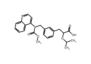 COC(=O)N(Cc1cccc(CC(OC(C)C)C(=O)O)c1)c1ccnc2ccccc12